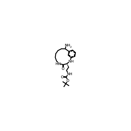 CC(C)(C)OC(=O)NCC[C@@H]1Nc2cccc(c2)C(N)CCCCCNC1=O